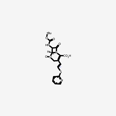 CC(C)(C)OC(=O)NC1C(=O)N2C(C(=O)O)=C(/C=C/Sc3ccccn3)C[S+]([O-])[C@H]12